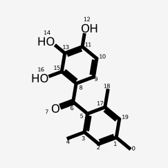 Cc1cc(C)c(C(=O)c2ccc(O)c(O)c2O)c(C)c1